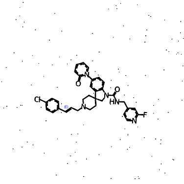 O=C(NCc1ccnc(F)c1)N1CC2(CCN(C/C=C/c3ccc(Cl)cc3)CC2)c2cc(-n3ccccc3=O)ccc21